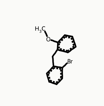 COc1ccccc1Cc1ccccc1Br